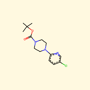 CC(C)(C)OC(=O)N1CCN(c2ccc(Cl)cn2)CC1